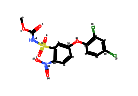 COC(=O)NS(=O)(=O)c1cc(Oc2ccc(Cl)cc2Cl)ccc1[N+](=O)[O-]